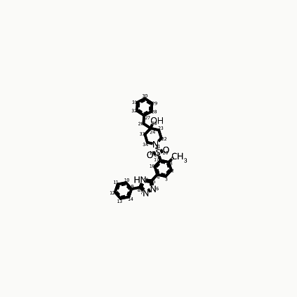 Cc1ccc(-c2nnc(-c3ccccc3)[nH]2)cc1S(=O)(=O)N1CCC(O)(Cc2ccccc2)CC1